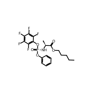 CCCCCOC(=O)[C@H](C)N[P@@](=O)(Oc1ccccc1)Oc1c(F)c(F)c(F)c(F)c1F